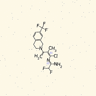 C=C(/C(C)=C(Cl)\N=C(/N)C(F)F)N1CCc2ccc(C(F)(F)F)cc2C1